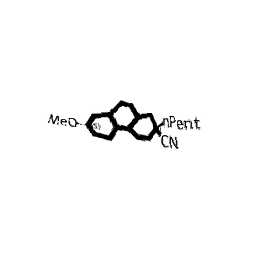 CCCCC[C@@]1(C#N)CCC2C(CCC3C[C@@H](OC)CCC32)C1